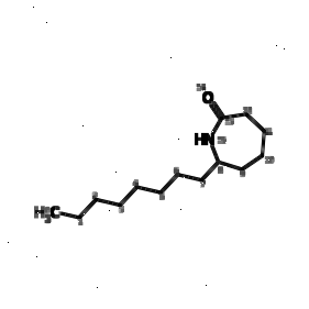 CCCCCCCCC1CCCCC(=O)N1